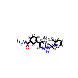 CSc1cccnc1C(C)(C)Nc1ncc(-c2cccc(C(N)=O)c2)cn1